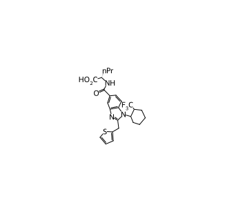 CCC[C@H](NC(=O)c1ccc2c(c1)nc(Cc1cccs1)n2C1CCCCC1C(F)(F)F)C(=O)O